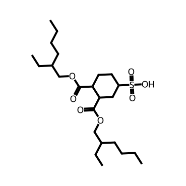 CCCCC(CC)COC(=O)C1CCC(S(=O)(=O)O)CC1C(=O)OCC(CC)CCCC